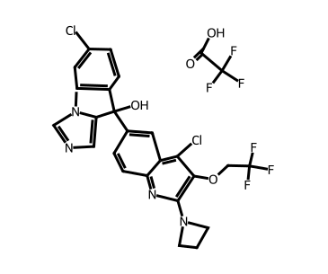 Cn1cncc1C(O)(c1ccc(Cl)cc1)c1ccc2nc(N3CCC3)c(OCC(F)(F)F)c(Cl)c2c1.O=C(O)C(F)(F)F